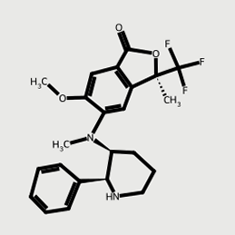 COc1cc2c(cc1N(C)[C@H]1CCCN[C@H]1c1ccccc1)[C@](C)(C(F)(F)F)OC2=O